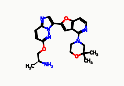 C[C@@H](N)COc1ccc2ncc(-c3cc4c(N5CCOC(C)(C)C5)nccc4o3)n2n1